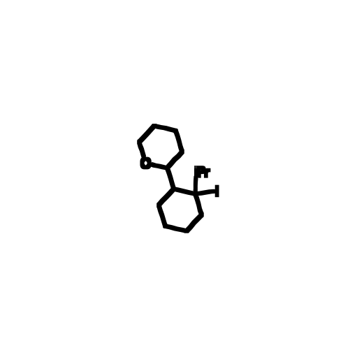 CC(C)C1(I)CCCCC1C1CCCCO1